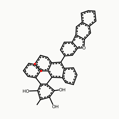 Cc1c(O)c(O)c(-c2c3ccccc3c(-c3ccc4c(c3)oc3cc5ccccc5cc34)c3ccccc23)c(-c2ccccc2)c1O